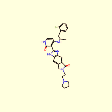 CC(Cc1ccccc1F)Nc1cc[nH]c(=O)c1-c1nc2cc3c(cc2[nH]1)CN(CCN1CCCC1)C3=O